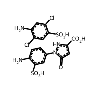 Nc1cc(Cl)c(S(=O)(=O)O)cc1Cl.Nc1ccc(-n2[nH]c(C(=O)O)cc2=O)cc1S(=O)(=O)O